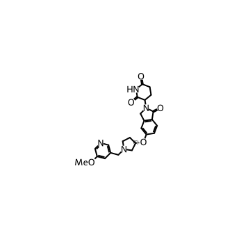 COc1cncc(CN2CC[C@H](Oc3ccc4c(c3)CN(C3CCC(=O)NC3=O)C4=O)C2)c1